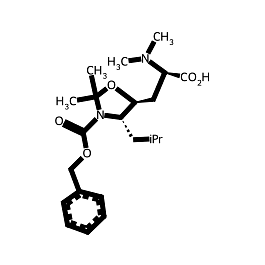 CC(C)C[C@H]1[C@H](C[C@H](C(=O)O)N(C)C)OC(C)(C)N1C(=O)OCc1ccccc1